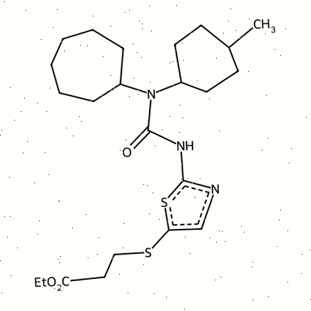 CCOC(=O)CCSc1cnc(NC(=O)N(C2CCCCCC2)C2CCC(C)CC2)s1